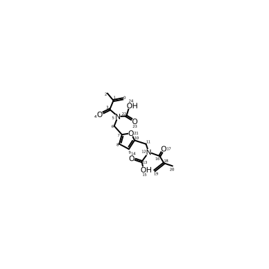 C=C(C)C(=O)N(Cc1ccc(CN(C(=O)O)C(=O)C(=C)C)o1)C(=O)O